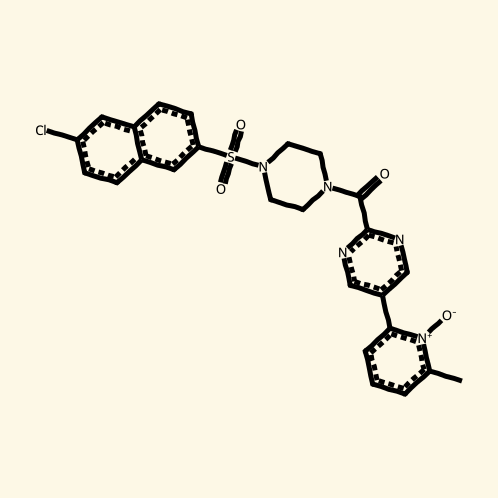 Cc1cccc(-c2cnc(C(=O)N3CCN(S(=O)(=O)c4ccc5cc(Cl)ccc5c4)CC3)nc2)[n+]1[O-]